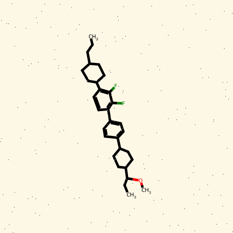 CCCC1CCC(c2ccc(-c3ccc(C4CCC(C(CC)OC)CC4)cc3)c(F)c2F)CC1